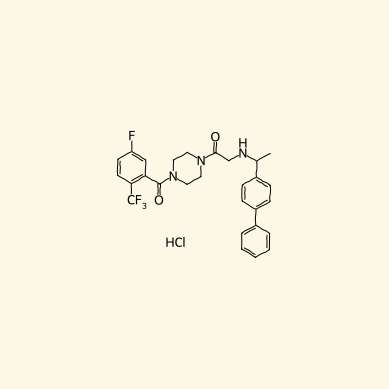 CC(NCC(=O)N1CCN(C(=O)c2cc(F)ccc2C(F)(F)F)CC1)c1ccc(-c2ccccc2)cc1.Cl